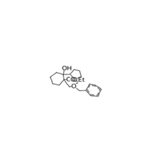 CCOC(=O)C1(COCc2ccccc2)CCCCC1(O)C1CCCO1